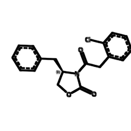 O=C(Cc1ccccc1Cl)N1C(=O)OC[C@H]1Cc1ccccc1